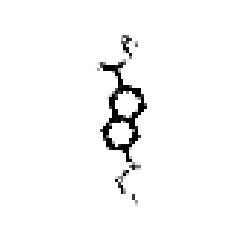 CONc1ccc2cc(C(=O)OC)ccc2c1